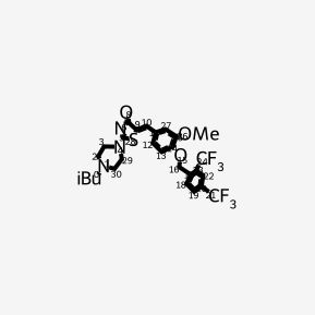 CCC(C)N1CCN(C2=NC(=O)C(=Cc3ccc(OCc4ccc(C(F)(F)F)cc4C(F)(F)F)c(OC)c3)S2)CC1